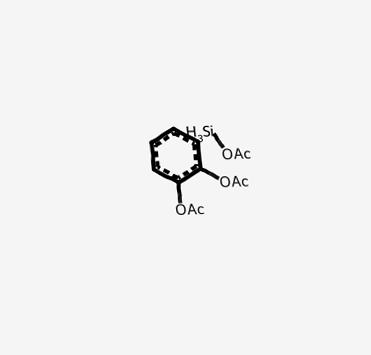 CC(=O)O[SiH3].CC(=O)Oc1ccccc1OC(C)=O